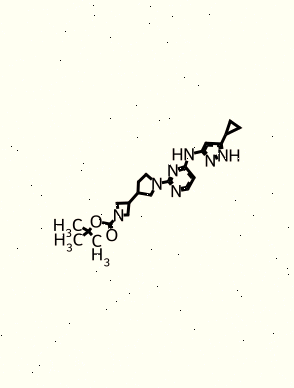 CC(C)(C)OC(=O)N1CC(C2CCN(c3nccc(Nc4cc(C5CC5)[nH]n4)n3)C2)C1